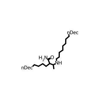 CCCCCCCCCCCCCCCCCCNC(C)C(CCCCCCCCCCCCCC)C(N)=O